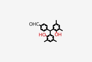 Cc1cc(C)c(O)c(C(c2ccc(C=O)cc2)c2cc(C)cc(C)c2O)c1